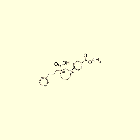 COC(=O)c1ccc([C@H]2CCCC[C@@](CCCc3ccccc3)(C(=O)O)C2)cc1